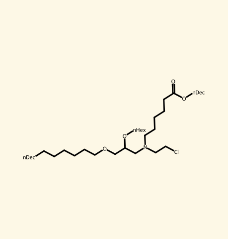 CCCCCCCCCCCCCCCCOCC(CN(CCCl)CCCCCC(=O)OCCCCCCCCCC)OCCCCCC